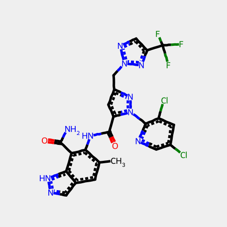 Cc1cc2cn[nH]c2c(C(N)=O)c1NC(=O)c1cc(Cn2ncc(C(F)(F)F)n2)nn1-c1ncc(Cl)cc1Cl